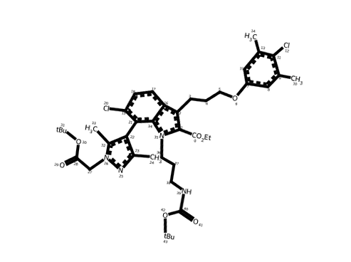 CCOC(=O)c1c(CCCOc2cc(C)c(Cl)c(C)c2)c2ccc(Cl)c(-c3c(C)nn(CC(=O)OC(C)(C)C)c3C)c2n1CCCNC(=O)OC(C)(C)C